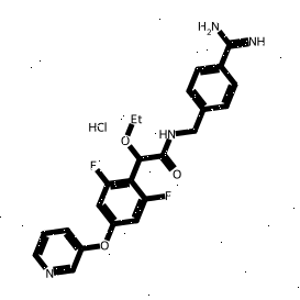 CCOC(C(=O)NCc1ccc(C(=N)N)cc1)c1c(F)cc(Oc2cccnc2)cc1F.Cl